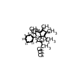 CCC[Si](CCC)(c1ccccc1)C1(C)C(C)=C(C)C(C)=[C]1[Ti+3].[Cl-].[Cl-].[Cl-]